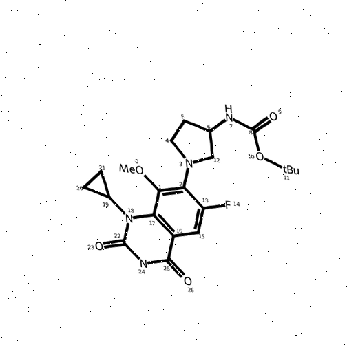 COc1c(N2CCC(NC(=O)OC(C)(C)C)C2)c(F)cc2c1N(C1CC1)C(=O)[N]C2=O